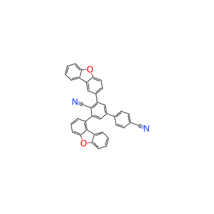 N#Cc1ccc(-c2cc(-c3ccc4oc5ccccc5c4c3)c(C#N)c(-c3cccc4oc5ccccc5c34)c2)cc1